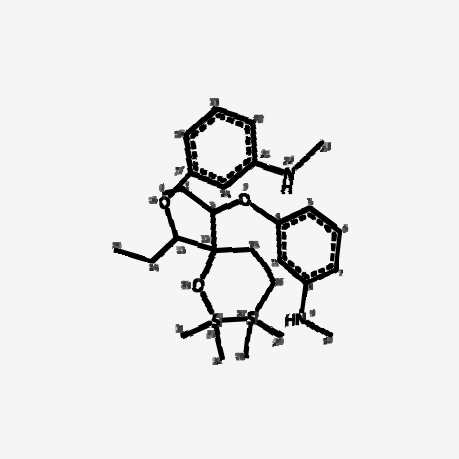 CCC(Oc1cccc(NC)c1)C1(C(CC)Oc2cccc(NC)c2)CC[Si](C)(C)[Si](C)(C)O1